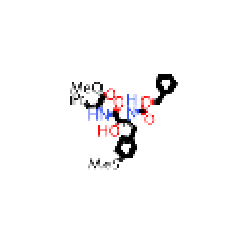 COC(=O)[C@H](CC(C)C)NC(=O)[C@H](O)[C@H](Cc1ccc(SC)cc1)NC(=O)OCc1ccccc1